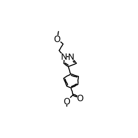 COCCn1cc(-c2ccc(C(=O)OC)cc2)cn1